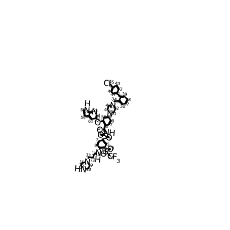 O=C(NS(=O)(=O)c1ccc(NCCCN2CCNCC2)c(S(=O)(=O)C(F)(F)F)c1)c1ccc(N2CCN(Cc3ccccc3-c3ccc(Cl)cc3)CC2)cc1Oc1cnc2[nH]ccc2c1